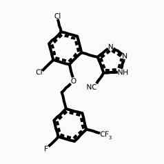 N#Cc1[nH]nnc1-c1cc(Cl)cc(Cl)c1OCc1cc(F)cc(C(F)(F)F)c1